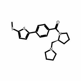 CSc1ccc(-c2ccc(C(=O)N3CCC[C@H]3CN3CCCC3)cc2)s1